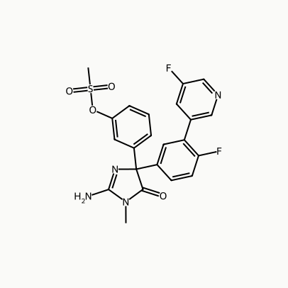 CN1C(=O)C(c2cccc(OS(C)(=O)=O)c2)(c2ccc(F)c(-c3cncc(F)c3)c2)N=C1N